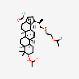 C=C(CSCCOC(C)=O)[C@@H]1CC[C@]2(C(=O)Cl)CC[C@]3(C)[C@H](CC[C@@H]4[C@@]5(C)CC[C@H](OC(C)=O)C(C)(C)[C@@H]5CC[C@]43C)[C@@H]12